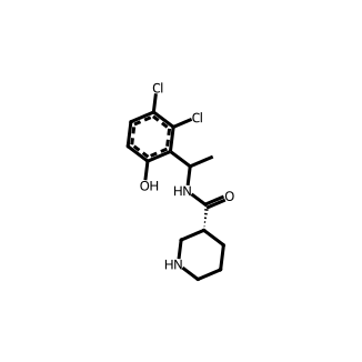 CC(NC(=O)[C@@H]1CCCNC1)c1c(O)ccc(Cl)c1Cl